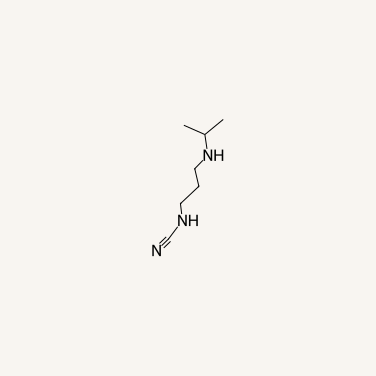 CC(C)NCCCNC#N